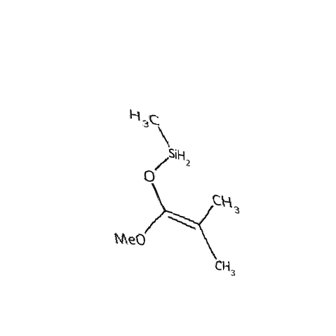 COC(O[SiH2]C)=C(C)C